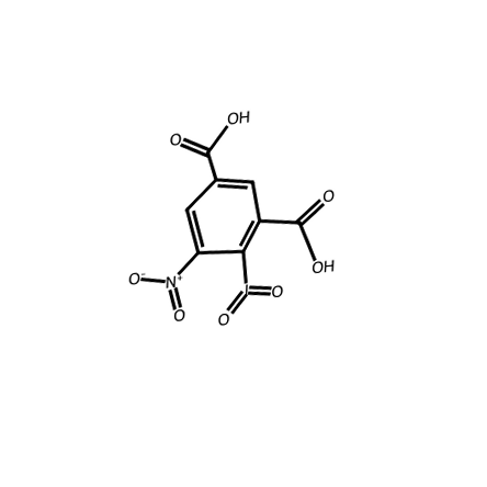 O=C(O)c1cc(C(=O)O)c(I(=O)=O)c([N+](=O)[O-])c1